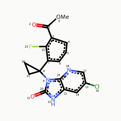 COC(=O)c1cccc(C2(n3c(=O)[nH]c4cc(Cl)cnc43)CC2)c1F